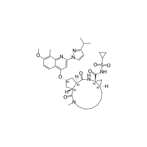 COc1ccc2c(O[C@@H]3C[C@H]4C(=O)N[C@]5(C(=O)NS(=O)(=O)C6CC6)C[C@H]5CCCCCCN(C)C(=O)[C@@H]4C3)cc(-n3ccc(C(C)C)n3)nc2c1C